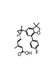 CC(C=C[C@@H]1C[C@]1(C)c1cc(-c2ccc(F)cc2)c2c(c1)C(C)(C)CO2)=CC(=O)O